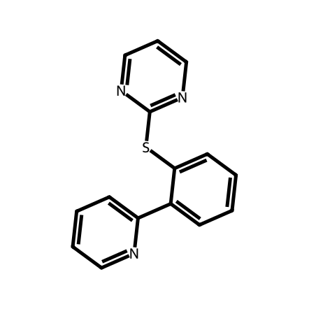 c1ccc(-c2ccccc2Sc2ncccn2)nc1